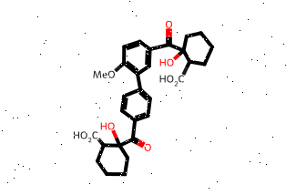 COc1ccc(C(=O)C2(O)CCCCC2C(=O)O)cc1-c1ccc(C(=O)C2(O)CCCCC2C(=O)O)cc1